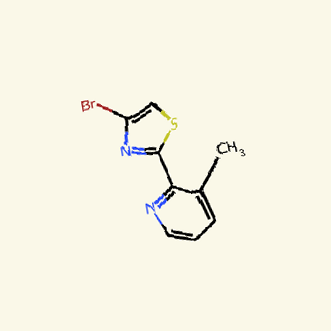 Cc1cccnc1-c1nc(Br)cs1